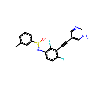 C/N=C\C(C#Cc1c(F)ccc(N[S+]([O-])c2cccc(C)c2)c1F)=C/N